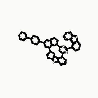 c1ccc(-c2ccc(-c3cccc(-c4ccc5oc6cccc(-c7cc(-c8ccccc8)nc(-c8cccc9sc%10ccccc%10c89)n7)c6c5c4)c3)cc2)cc1